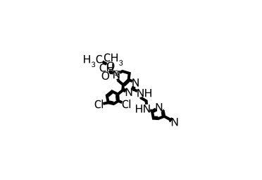 CC(C)(C)OC(=O)N1CCc2nc(NCCNc3ccc(C#N)cn3)nc(-c3ccc(Cl)cc3Cl)c2C1